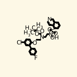 CC(C)(C)OC(=O)N(CCOc1ccc(Cl)cc1-c1ccc(F)cc1)CCN(O)S(=O)(=O)c1cccc2cnccc12